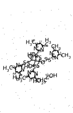 Cc1cc(C)nc(SSOC(SSc2nc(C)cc(C)n2)(SSc2nc(C)cc(C)n2)C(CO)(CO)C(O)SSc2nc(C)cc(C)n2)n1.O=C(O)CO